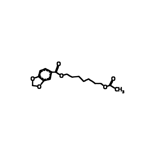 CC(=O)OCCCCCCCOC(=O)c1ccc2c(c1)OCO2